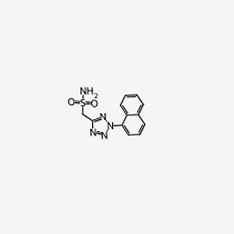 NS(=O)(=O)Cc1nnn(-c2cccc3ccccc23)n1